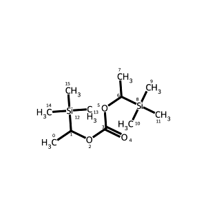 CC(OC(=O)OC(C)[Si](C)(C)C)[Si](C)(C)C